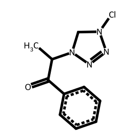 CC(C(=O)c1ccccc1)N1CN(Cl)N=N1